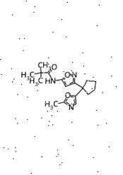 Cc1ncc(C2(c3cc(NC(=O)C(C)(C)C)on3)CCCC2)o1